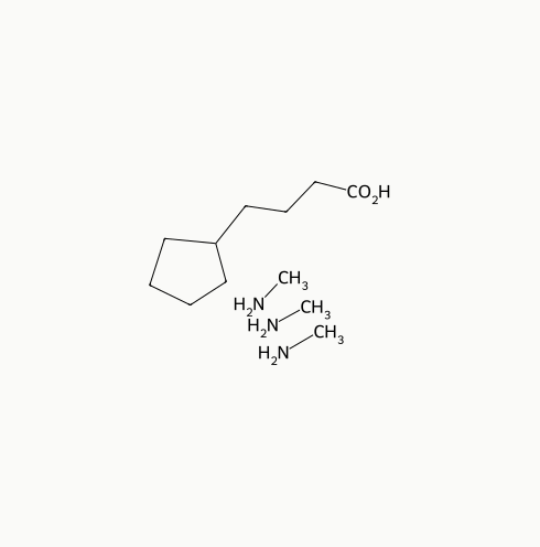 CN.CN.CN.O=C(O)CCCC1CCCC1